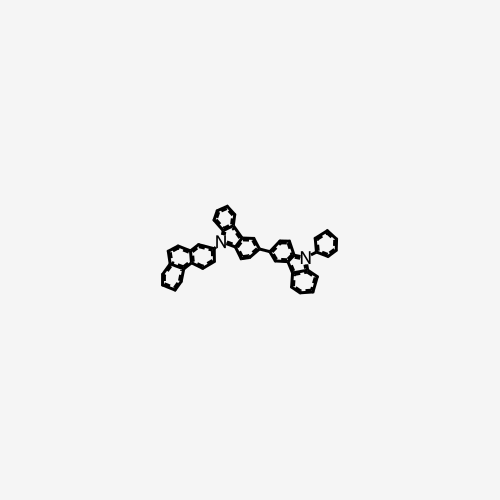 c1ccc(-n2c3ccccc3c3cc(-c4ccc5c(c4)c4ccccc4n5-c4ccc5c(ccc6ccccc65)c4)ccc32)cc1